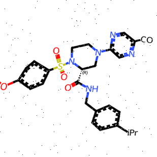 CC(C)c1ccc(CNC(=O)[C@H]2CN(c3cnc(C(=O)O)cn3)CCN2S(=O)(=O)c2ccc(OC(F)(F)F)cc2)cc1